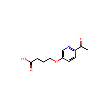 CC(=O)c1ccc(OCCCC(=O)O)cn1